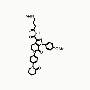 CNCCCC(=O)NC(=O)c1nn(-c2ccc(OC)cc2)c2c1CCN(c1ccc(N3CCCCC3=O)cc1)C2=O